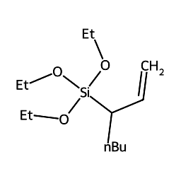 C=CC(CCCC)[Si](OCC)(OCC)OCC